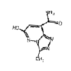 Cc1nnc2c(C(N)=O)cc(O)nn12